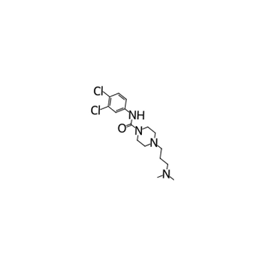 CN(C)CCCN1CCN(C(=O)Nc2ccc(Cl)c(Cl)c2)CC1